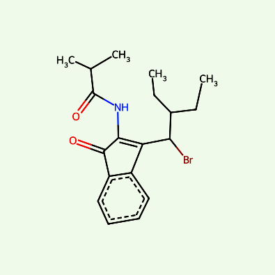 CCC(CC)C(Br)C1=C(NC(=O)C(C)C)C(=O)c2ccccc21